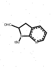 CC(C)(C)N1c2ncccc2CC1C=O